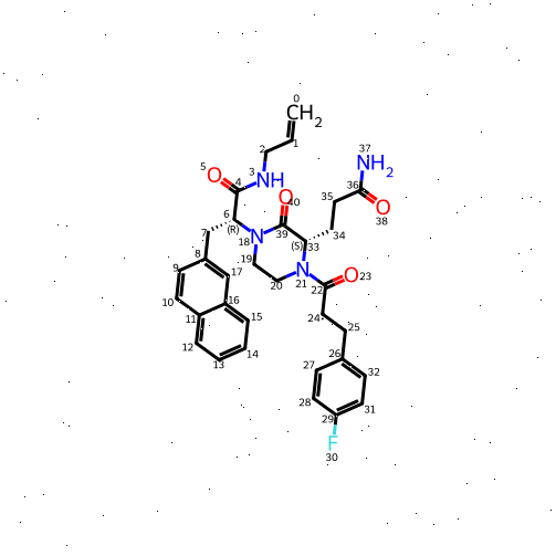 C=CCNC(=O)[C@@H](Cc1ccc2ccccc2c1)N1CCN(C(=O)[CH]Cc2ccc(F)cc2)[C@@H](CCC(N)=O)C1=O